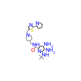 CC(C)(C)Nc1nc(C(=O)NCC2CCN(Cc3cnc(-c4ccccn4)s3)CC2)cc(N)c1N